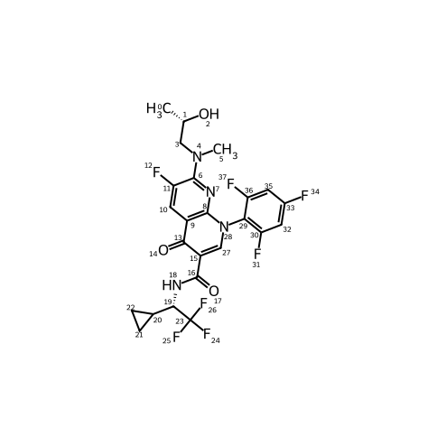 C[C@H](O)CN(C)c1nc2c(cc1F)c(=O)c(C(=O)N[C@@H](C1CC1)C(F)(F)F)cn2-c1c(F)cc(F)cc1F